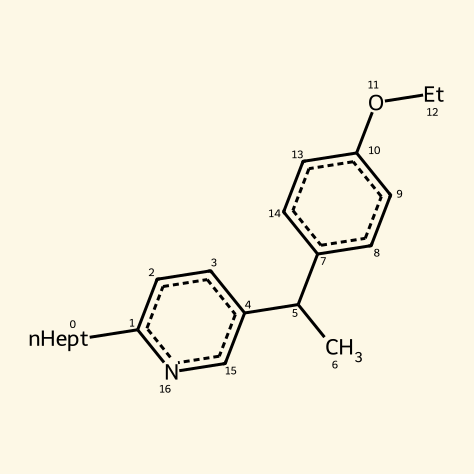 CCCCCCCc1ccc(C(C)c2ccc(OCC)cc2)cn1